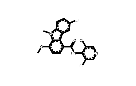 COc1ccc(C(=O)Nc2c(Cl)cncc2Cl)c2c3cc(Cl)ccc3n(C)c12